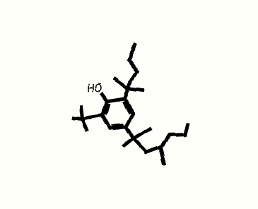 CCCC(C)CC(C)(C)c1cc(C(C)(C)C)c(O)c(C(C)(C)CCC)c1